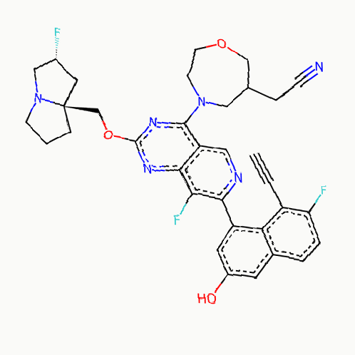 C#Cc1c(F)ccc2cc(O)cc(-c3ncc4c(N5CCOCC(CC#N)C5)nc(OC[C@@]56CCCN5C[C@H](F)C6)nc4c3F)c12